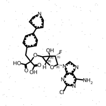 Nc1nc(Cl)nc2c1ncn2[C@@H]1O[C@@H]2C(OC(Cc3ccc(-c4ccncc4)cc3)(C(=O)O)C(=O)O)[C@]2(O)[C@@H]1F